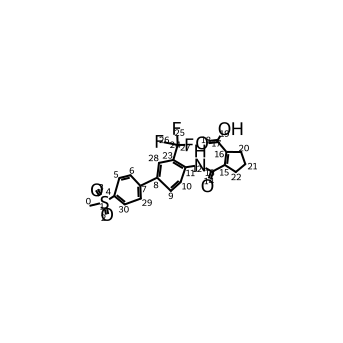 CS(=O)(=O)c1ccc(-c2ccc(NC(=O)C3=C(C(=O)O)CCC3)c(C(F)(F)F)c2)cc1